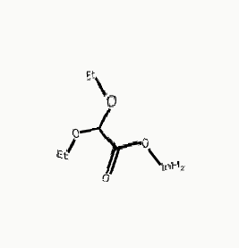 CCOC(OCC)C(=O)[O][InH2]